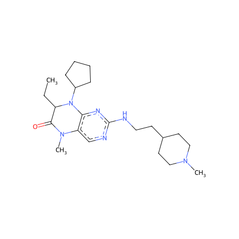 CCC1C(=O)N(C)c2cnc(NCCC3CCN(C)CC3)nc2N1C1CCCC1